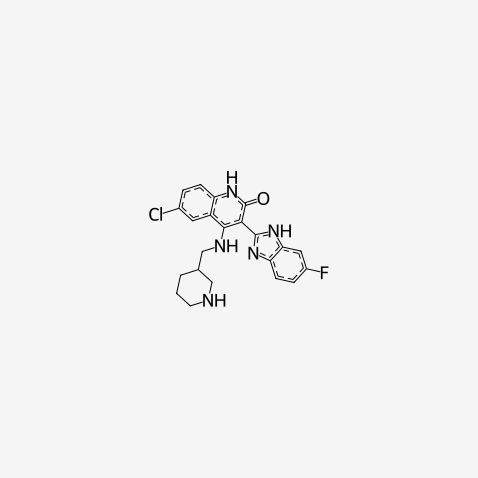 O=c1[nH]c2ccc(Cl)cc2c(NCC2CCCNC2)c1-c1nc2ccc(F)cc2[nH]1